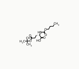 CCCCOC(=O)N[C@@H](CCC(=O)OC(C)(C)C)C(=O)O